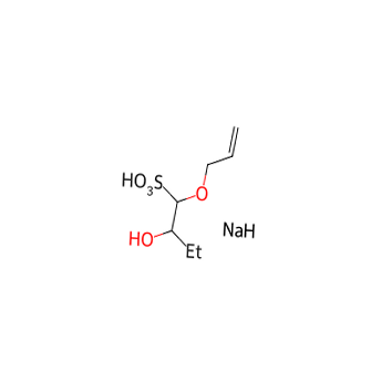 C=CCOC(C(O)CC)S(=O)(=O)O.[NaH]